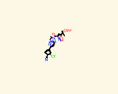 CC(Cn1ccc(-c2ccc(C#N)c(Cl)c2)n1)NC(=O)c1cc(C(C)(C)O)on1